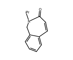 CC(C)N1Cc2ccccc2C=CC1=O